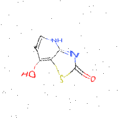 O=c1nc2[nH]ccc(O)c-2s1